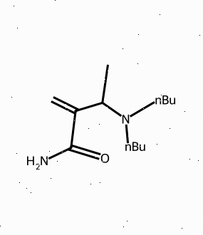 C=C(C(N)=O)C(C)N(CCCC)CCCC